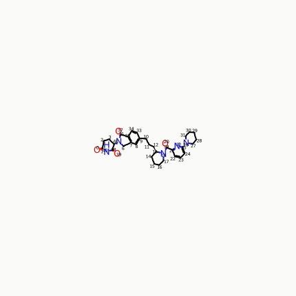 O=C1CCC(N2Cc3cc(CCC[C@@H]4CCCCN4C(=O)c4cccc(N5CCCCC5)n4)ccc3C2=O)C(=O)N1